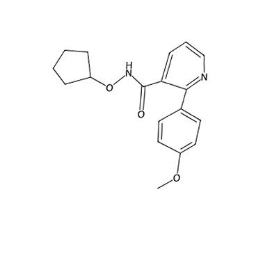 COc1ccc(-c2ncccc2C(=O)NOC2CCCC2)cc1